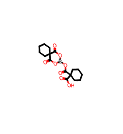 O=C(O)C1(C(=O)OB2OC(=O)C3(CCCCC3)C(=O)O2)CCCCC1